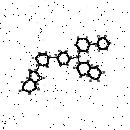 c1ccc(-c2cccc(N(c3ccc(-c4cccc(-c5cc6ccccc6o5)c4)cc3)c3ccc4ccccc4c3)c2)cc1